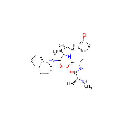 CN[C@@H](C)C(=O)N[C@H]1Cc2ccc(O)cc2[C@H]2CC(C)(C)C(C(=O)N[C@@H]3CCCc4ccccc43)N2C1O